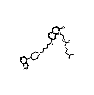 CC(C)CCOC(=O)OCn1c(=O)ccc2ccc(OCCCCN3CCN(c4cccc5sccc45)CC3)cc21